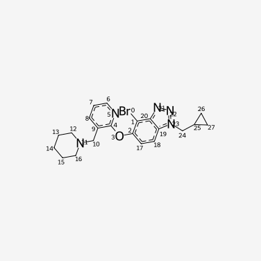 Brc1c(Oc2ncccc2CN2CCCCC2)ccc2c1nnn2CC1CC1